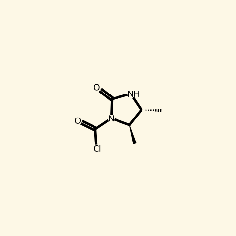 C[C@@H]1[C@@H](C)NC(=O)N1C(=O)Cl